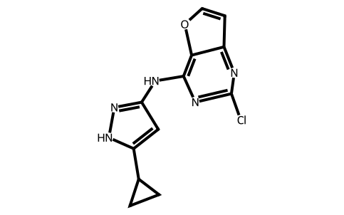 Clc1nc(Nc2cc(C3CC3)[nH]n2)c2occc2n1